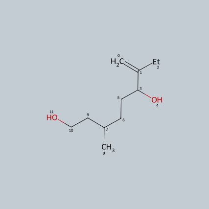 C=C(CC)C(O)CCC(C)CCO